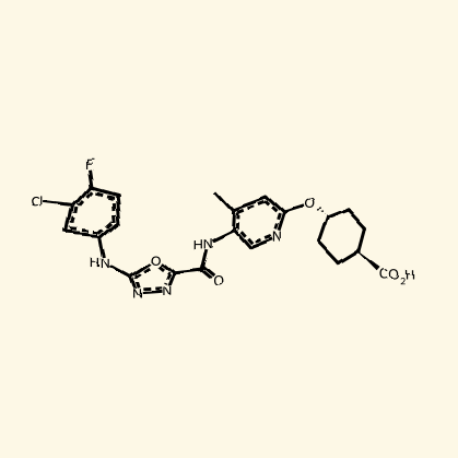 Cc1cc(O[C@H]2CC[C@H](C(=O)O)CC2)ncc1NC(=O)c1nnc(Nc2ccc(F)c(Cl)c2)o1